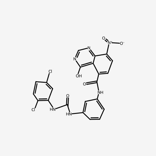 O=C(Nc1cccc(NC(=O)c2ccc([N+](=O)[O-])c3ncnc(O)c23)c1)Nc1cc(Cl)ccc1Cl